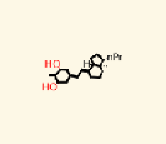 C=C1[C@H](O)CC(=C/C=C2\CCC[C@]3(C)[C@@H](CCC)CC[C@@H]23)C[C@H]1O